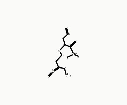 C=C=C(CN)CCSC(CC=C)C(=C)N(C)C